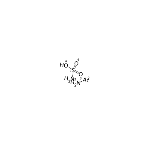 CC(N)=O.NS(=O)(=O)O